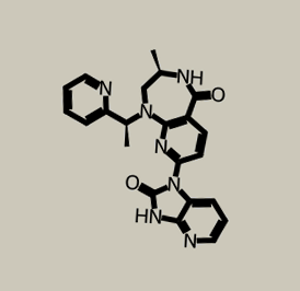 C[C@@H]1CN([C@@H](C)c2ccccn2)c2nc(-n3c(=O)[nH]c4ncccc43)ccc2C(=O)N1